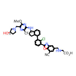 COc1nc(N[C@@H]2CCc3c(-c4cccc(-c5nc6cc(CNCC(=O)O)cc(C#N)c6o5)c4Cl)cccc32)c(C(F)(F)F)nc1CN1CC[C@@H](O)C1